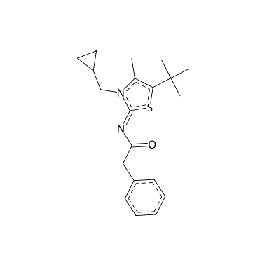 Cc1c(C(C)(C)C)s/c(=N\C(=O)Cc2ccccc2)n1CC1CC1